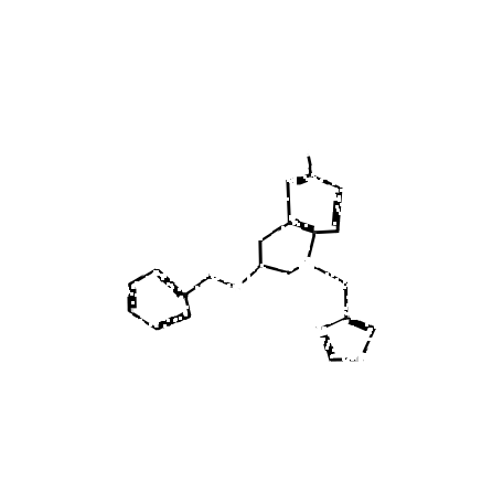 Brc1ccc2c(c1)CC(NCc1ccccc1)CN2Cc1c[nH]cn1